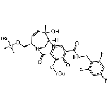 CCCCOc1c2n(cc(C(=O)NCc3c(F)cc(F)cc3F)c1=O)[C@@H]1CN(C2=O)[C@@H](CO[Si](C)(C)C(C)(C)C)C=C[C@]1(C)O